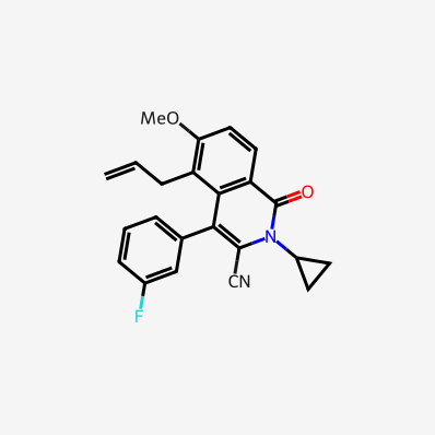 C=CCc1c(OC)ccc2c(=O)n(C3CC3)c(C#N)c(-c3cccc(F)c3)c12